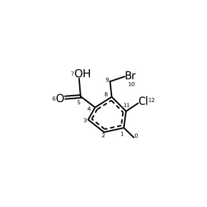 Cc1ccc(C(=O)O)c(CBr)c1Cl